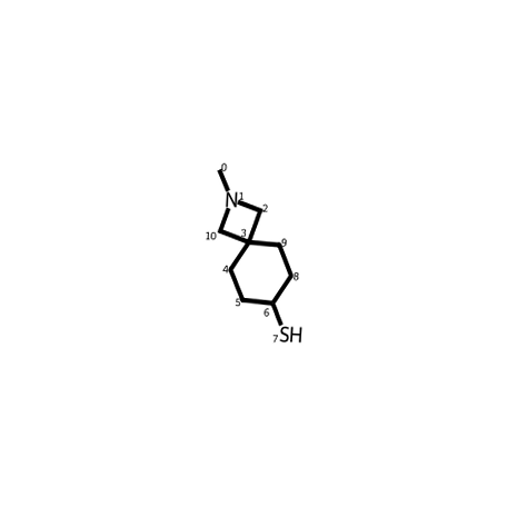 CN1CC2(CCC(S)CC2)C1